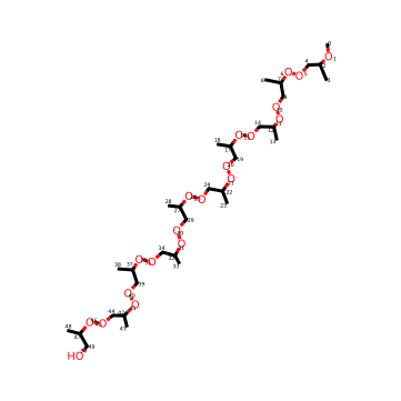 COC(C)COOC(C)COOC(C)COOC(C)COOC(C)COOC(C)COOC(C)COOC(C)COOC(C)COOC(C)CO